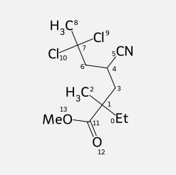 CCC(C)(CC(C#N)CC(C)(Cl)Cl)C(=O)OC